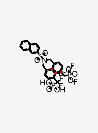 O=P(Cc1ccc(CN(Cc2ccc(C(F)(F)P(=O)(O)O)c(Br)c2)S(=O)(=O)c2ccc3ccccc3c2)cc1)(OF)OF